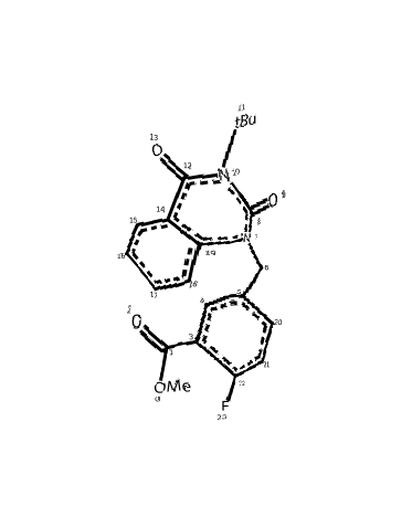 COC(=O)c1cc(Cn2c(=O)n(C(C)(C)C)c(=O)c3ccccc32)ccc1F